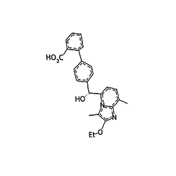 CCOc1nc2c(C)ccc([C@H](O)c3ccc(-c4ccccc4C(=O)O)cc3)n2c1C